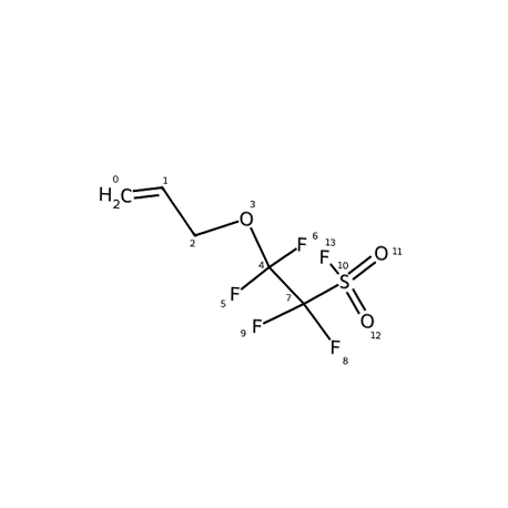 C=CCOC(F)(F)C(F)(F)S(=O)(=O)F